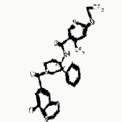 O=C(N[C@@H]1CCN(C(=O)c2cc(Cl)c3nccnc3c2)C[C@@H]1c1ccccc1)c1cnc(OCC(F)(F)F)cc1C(F)(F)F